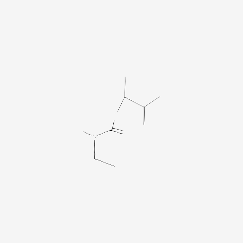 CCN(C)C(=O)OC(C)C(C)C